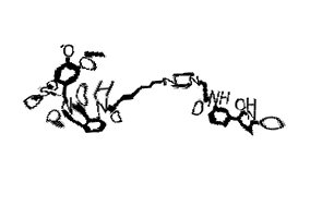 CCOc1cc([C@@H](CS(C)(=O)=O)N2C(=O)c3cccc(NC(=O)CCCCCN4CCN(CC(=O)Nc5cccc(C6CCC(=O)NC6=O)c5)CC4)c3C2=O)ccc1OC